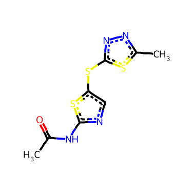 CC(=O)Nc1ncc(Sc2nnc(C)s2)s1